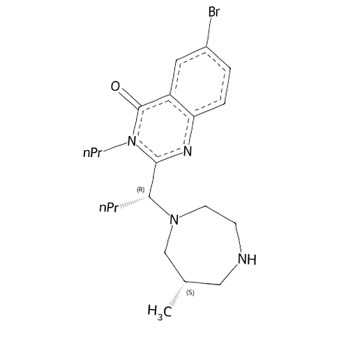 CCC[C@H](c1nc2ccc(Br)cc2c(=O)n1CCC)N1CCNC[C@H](C)C1